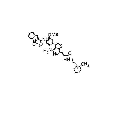 COc1cc(-c2csc3c(C=CC(=O)NCCCN4CCCC[C@H]4C)cnc(N)c23)ccc1NC(=O)c1cc2ccccc2n1C